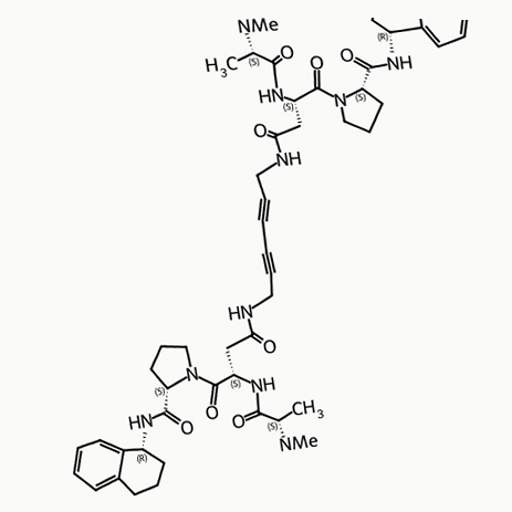 CN[C@@H](C)C(=O)N[C@@H](CC(=O)NCC#CC#CCNC(=O)C[C@H](NC(=O)[C@H](C)NC)C(=O)N1CCC[C@H]1C(=O)N[C@@H]1CCCc2ccccc21)C(=O)N1CCC[C@H]1C(=O)N[C@@H]1CCCc2ccccc21